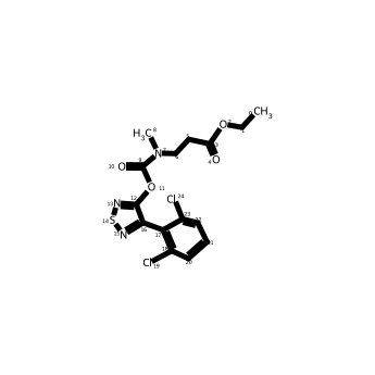 CCOC(=O)CCN(C)C(=O)Oc1nsnc1-c1c(Cl)cccc1Cl